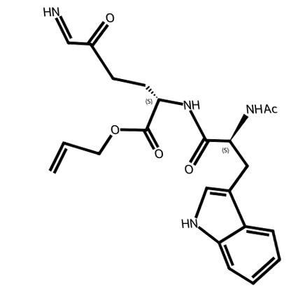 C=CCOC(=O)[C@H](CCC(=O)C=N)NC(=O)[C@H](Cc1c[nH]c2ccccc12)NC(C)=O